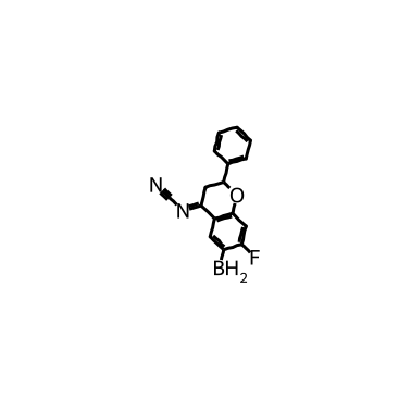 Bc1cc2c(cc1F)OC(c1ccccc1)C/C2=N\C#N